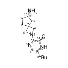 CC(C)(C)c1cnc(N2CC3(CC[C@H](N)C3)C2)c(=O)[nH]1